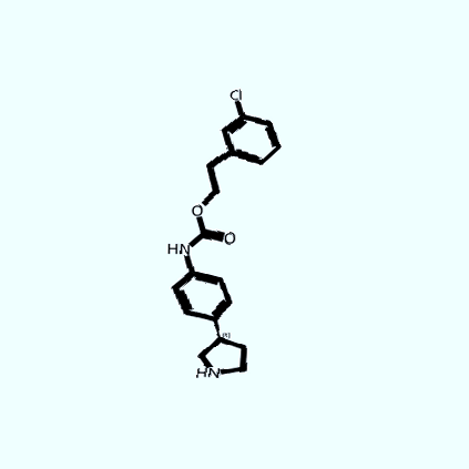 O=C(Nc1ccc([C@H]2CCNC2)cc1)OCCc1cccc(Cl)c1